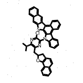 CC(C)c1nc(Cl)c(-n2c3ccccc3c3c4ccccc4c4c5cc6ccccc6cc5sc4c32)nc1CC1Cc2ccc3ccccc3c2O1